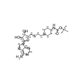 CC(C)(C)OC(=O)NC1CCN(CCSC[C@H]2O[C@@H](n3cnc4c(N)ncnc43)C(O)C2O)CC1